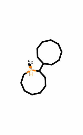 [Se]=[PH]1CCCCCCCC1C1CCCCCCCC1